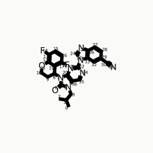 CC(C)Cn1c(=O)n(C2CCOc3c(F)ccc(F)c32)c2nc(-n3cnc4ccc(C#N)cc43)ncc21